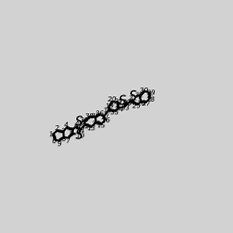 c1ccc2cc3c(cc2c1)sc1c2cc4ccc(-c5ccc6sc(-c7cc8ccccc8s7)cc6c5)cc4cc2sc31